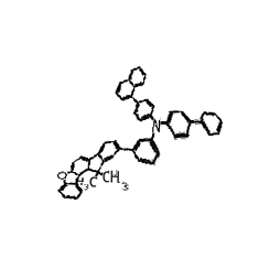 CC1(C)c2cc(-c3cccc(N(c4ccc(-c5ccccc5)cc4)c4ccc(-c5cccc6ccccc56)cc4)c3)ccc2-c2ccc3oc4ccccc4c3c21